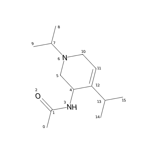 CC(=O)NC1CN(C(C)C)CC=C1C(C)C